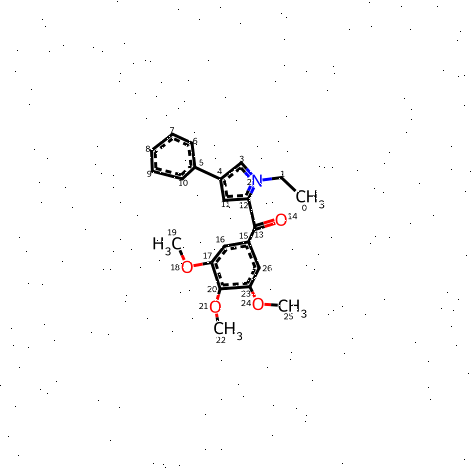 CCn1cc(-c2ccccc2)cc1C(=O)c1cc(OC)c(OC)c(OC)c1